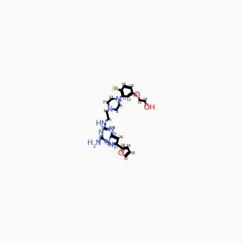 Nc1nc(NCCN2CCN(c3cc(OCCO)ccc3F)CC2)nc2cc(-c3ccco3)nn12